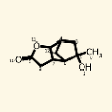 CC1(O)CC2CC1C1CC(=O)OC21